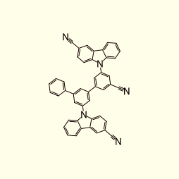 N#Cc1cc(-c2cc(-c3ccccc3)cc(-n3c4ccccc4c4cc(C#N)ccc43)c2)cc(-n2c3ccccc3c3cc(C#N)ccc32)c1